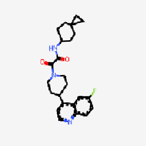 O=C(NC1CCC2(CC1)CC2)C(=O)N1CCC(c2ccnc3ccc(F)cc23)CC1